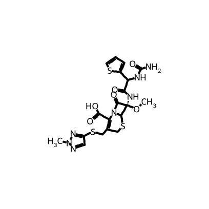 CO[C@]1(NC(=O)C(NC(N)=O)c2cccs2)C(=O)N2C(C(=O)O)=C(CSc3cnn(C)n3)CSC21